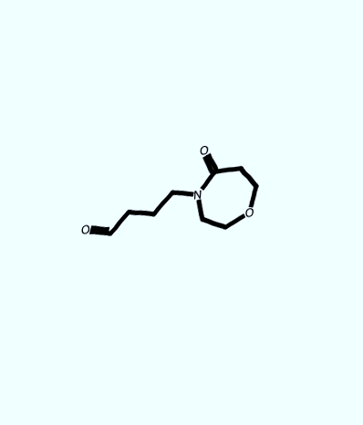 O=CCCCN1CCOCCC1=O